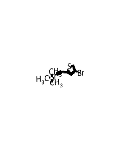 C[Si](C)(C)C#Cc1cc(Br)cs1